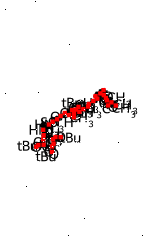 Cc1cc(OCCCC(=O)NCCNC(=O)C(CS(=O)(=O)O)NC(=O)CN2CCN(CC(=O)OC(C)(C)C)CCN(CC(=O)OC(C)(C)C)CCN(CC(=O)OC(C)(C)C)CC2)cc(C)c1S(=O)(=O)N[C@H](CNC(=O)CCCCc1ccc2c(n1)N(S(=O)(=O)c1c(C)c(C)c3c(c1C)CC(C)(C)O3)CCC2)C(=O)OC(C)(C)C